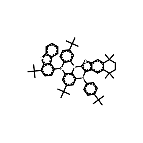 CC(C)(C)c1ccc(N2c3cc(C(C)(C)C)cc4c3B(c3cc(C(C)(C)C)ccc3N4c3ccc(C(C)(C)C)c4oc5ccccc5c34)c3oc4cc5c(cc4c32)C(C)(C)CCC5(C)C)cc1